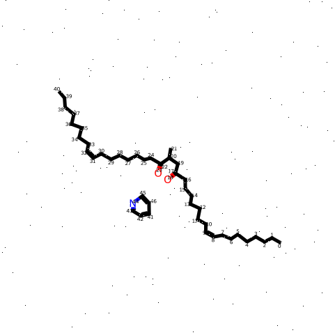 CCCCCCCC/C=C\CCCCCCCC(=O)CC(C)C(=O)CCCCCCC/C=C\CCCCCCCC.c1ccncc1